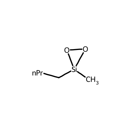 CCCC[Si]1(C)OO1